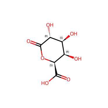 O=C(O)[C@H]1OC(=O)[C@H](O)[C@@H](O)[C@H]1O